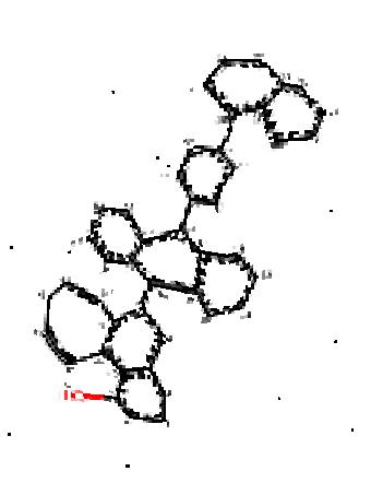 Oc1cccc2cc(-c3c4ccccc4c(-c4ccc(-c5cccc6ccccc56)cc4)c4ccccc34)c3c(c12)C#CCC=C3